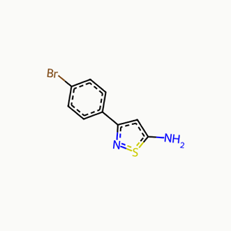 Nc1cc(-c2ccc(Br)cc2)ns1